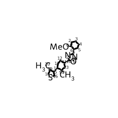 COc1ccccc1-c1noc(-c2ccc(-c3cscc3C)c(C)c2)n1